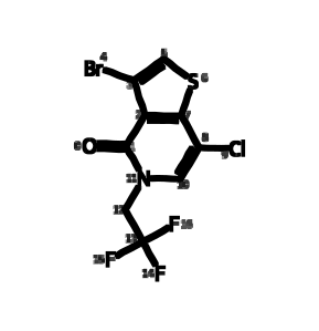 O=c1c2c(Br)csc2c(Cl)cn1CC(F)(F)F